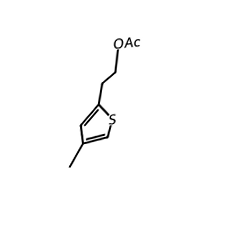 CC(=O)OCCc1cc(C)cs1